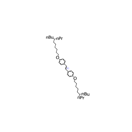 CCCCC(CCC)CCCCCCOc1ccc(/C=C/c2ccc(OCCCCCC(CCC)CCCC)cc2)cc1